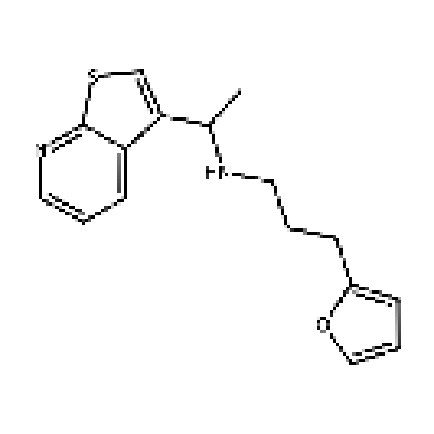 CC(NCCCc1ccco1)c1csc2ncccc12